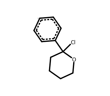 ClC1(c2cc[c]cc2)CCCCO1